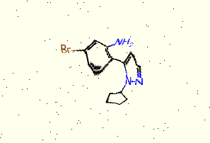 Nc1cc(Br)ccc1-c1ccnn1C1CCCC1